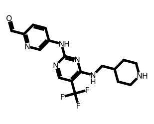 O=Cc1ccc(Nc2ncc(C(F)(F)F)c(NCC3CCNCC3)n2)cn1